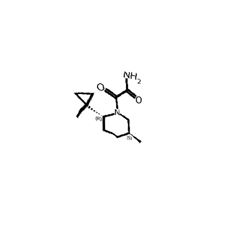 C[C@H]1CC[C@H](C2(C)CC2)N(C(=O)C(N)=O)C1